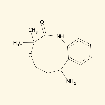 CC1(C)OCCC(N)c2ccccc2NC1=O